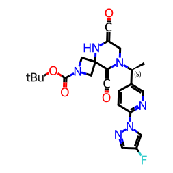 C[C@@H](c1ccc(-n2cc(F)cn2)nc1)N1CC(=C=O)NC2(CN(C(=O)OC(C)(C)C)C2)C1=C=O